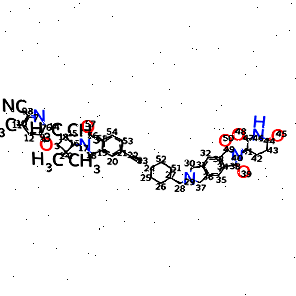 CC1(C)[C@H](Oc2cnc(C#N)c(C(F)(F)F)c2)C(C)(C)[C@H]1N1Cc2cc(C#C[C@H]3CC[C@H](CN4Cc5cc6c(cc5C4)C(=O)N(C4CCC(=O)NC4=O)C6=O)CC3)ccc2C1=O